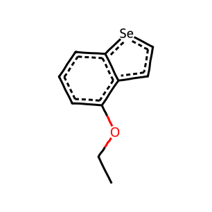 CCOc1cccc2[se]ccc12